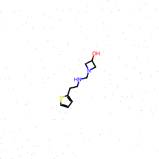 OC1CN(CNCCc2cccs2)C1